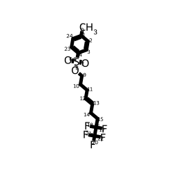 Cc1ccc(S(=O)(=O)OCCCC=CCCC(F)(F)C(F)(F)F)cc1